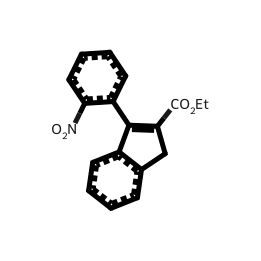 CCOC(=O)C1=C(c2ccccc2[N+](=O)[O-])c2ccccc2C1